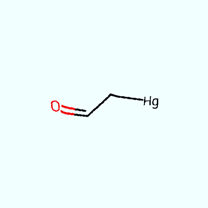 O=C[CH2][Hg]